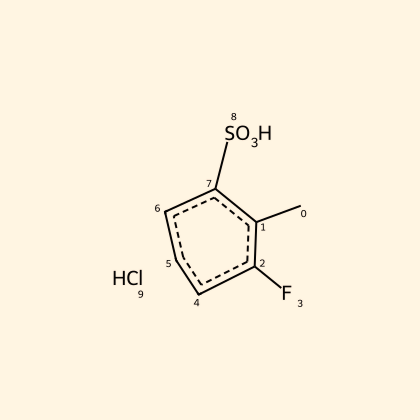 Cc1c(F)cccc1S(=O)(=O)O.Cl